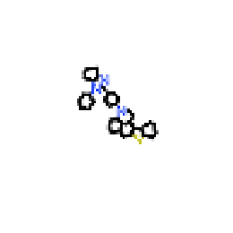 C1=CN(c2ccc(-c3nc4ccccc4n3-c3ccccc3)cc2)c2cccc3cc4sc5ccccc5c4c1c23